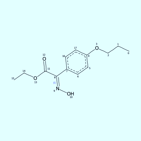 CCCOc1ccc(/C(=N\O)C(=O)OCC)cc1